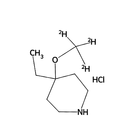 Cl.[2H]C([2H])([2H])OC1(CC)CCNCC1